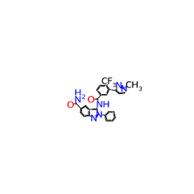 Cn1ccc(-c2cc(C(=O)Nc3c4cc(C(N)=O)ccc4nn3-c3ccccc3)ccc2C(F)(F)F)n1